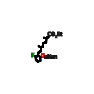 CCCCCCCCCOc1cccc(F)c1/C=C/C(C)=C/C=C/C(C)=C/C(=O)OCC